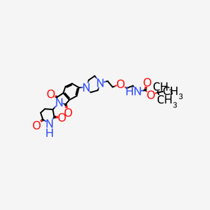 CC(C)(C)OC(=O)NCCOCCN1CCN(c2ccc3c(c2)C(=O)N(C2CCC(=O)NC2=O)C3=O)CC1